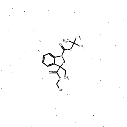 CCC1(C(=O)OCO)CN(C(=O)OC(C)(C)C)c2ccccc21